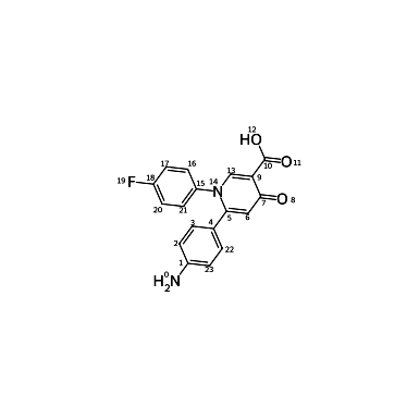 Nc1ccc(-c2cc(=O)c(C(=O)O)cn2-c2ccc(F)cc2)cc1